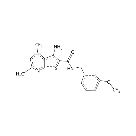 Cc1cc(C(F)(F)F)c2c(N)c(C(=O)NCc3cccc(OC(F)(F)F)c3)sc2n1